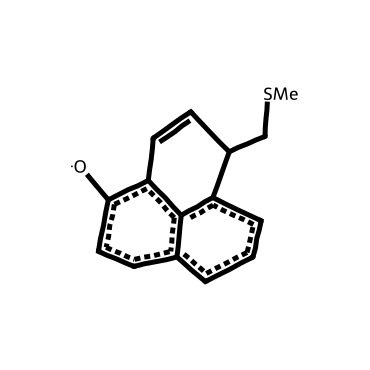 [CH2]SCC1C=Cc2c([O])ccc3cccc1c23